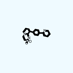 O=S1(=O)C=CN2C=CC=C(c3ccc(-c4ccccn4)cc3)C2=N1